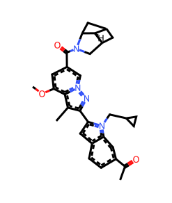 COc1cc(C(=O)N2CC3CC4CC2[C@H]43)cn2nc(-c3cc4ccc(C(C)=O)cc4n3CC3CC3)c(C)c12